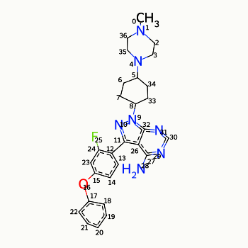 CN1CCN(C2CCC(n3nc(-c4ccc(Oc5ccccc5)cc4F)c4c(N)ncnc43)CC2)CC1